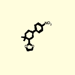 CC1(C)CCC(c2ccc([N+](=O)[O-])cc2)CC1C1OC=CO1